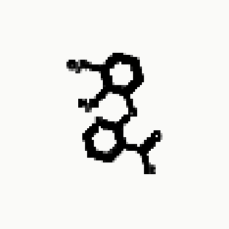 CCC(=O)c1cccnc1Oc1cccc([N+](=O)[O-])c1N